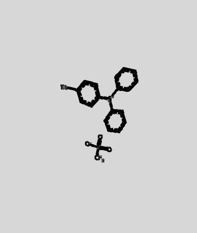 CCc1ccc([S+](c2ccccc2)c2ccccc2)cc1.O=S(=O)([O-])C(F)(F)F